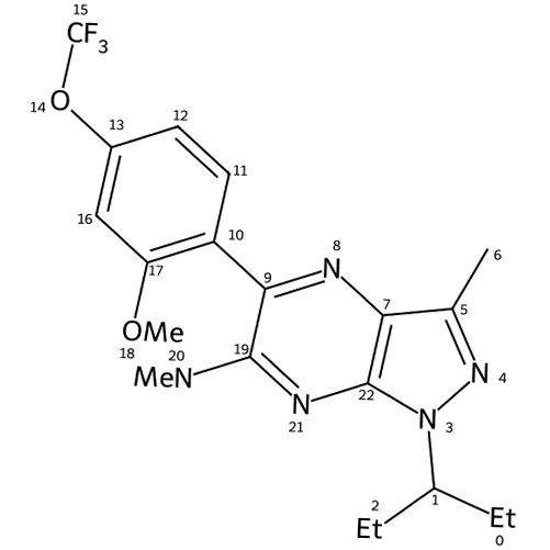 CCC(CC)n1nc(C)c2nc(-c3ccc(OC(F)(F)F)cc3OC)c(NC)nc21